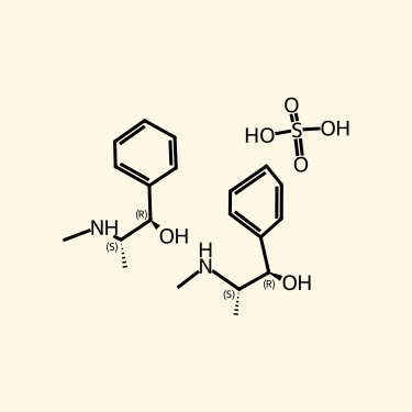 CN[C@@H](C)[C@H](O)c1ccccc1.CN[C@@H](C)[C@H](O)c1ccccc1.O=S(=O)(O)O